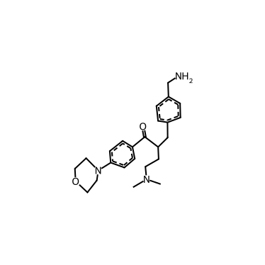 CN(C)CCC(Cc1ccc(CN)cc1)C(=O)c1ccc(N2CCOCC2)cc1